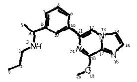 CCCNC(C)c1cccc(-c2cn3ccnc3c(OC)n2)c1